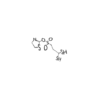 O=S(=O)(CCC(S)S)OC1=NCCS1